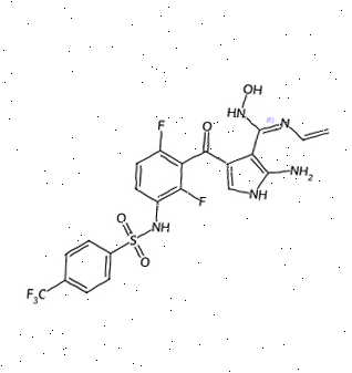 C=C/N=C(/NO)c1c(C(=O)c2c(F)ccc(NS(=O)(=O)c3ccc(C(F)(F)F)cc3)c2F)c[nH]c1N